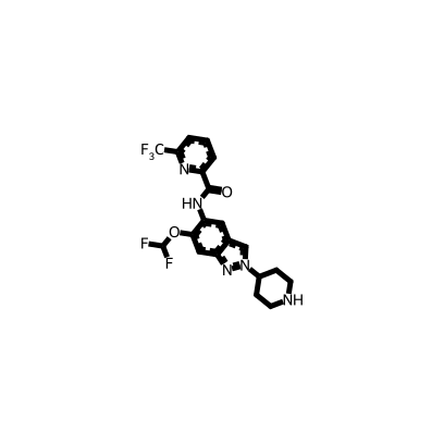 O=C(Nc1cc2cn(C3CCNCC3)nc2cc1OC(F)F)c1cccc(C(F)(F)F)n1